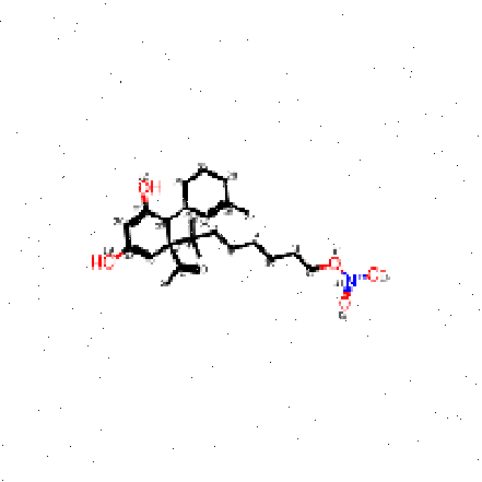 C=C(C)C1(C(C)(C)CCCCCCO[N+](=O)[O-])C=C(O)C=C(O)C1[C@@H]1C=C(C)CCC1